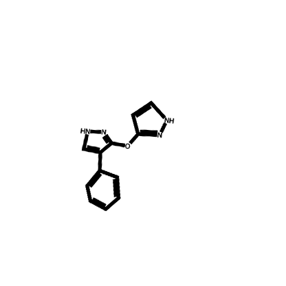 c1ccc(-c2c[nH]nc2Oc2cc[nH]n2)cc1